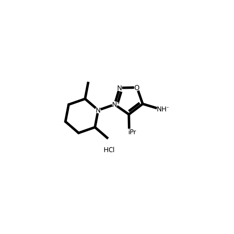 CC(C)c1c([NH-])on[n+]1N1C(C)CCCC1C.Cl